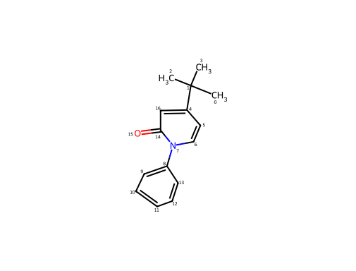 CC(C)(C)c1ccn(-c2ccccc2)c(=O)c1